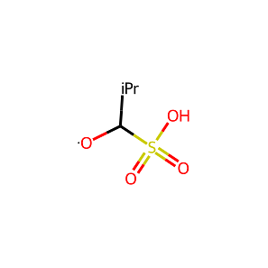 CC(C)C([O])S(=O)(=O)O